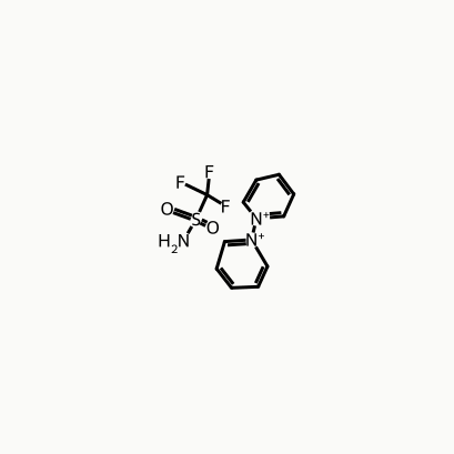 NS(=O)(=O)C(F)(F)F.c1cc[n+](-[n+]2ccccc2)cc1